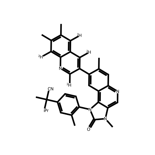 [2H]c1nc2c([2H])c(C)c(C)c([2H])c2c([2H])c1-c1cc2c(cc1C)ncc1c2n(-c2ccc(C(C)(C#N)C(C)C)cc2C)c(=O)n1C